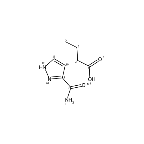 CCCC(=O)O.NC(=O)c1cc[nH]n1